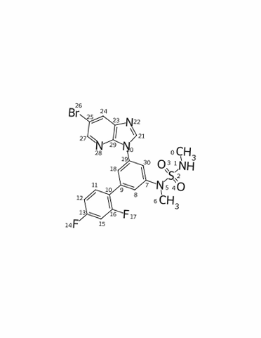 CNS(=O)(=O)N(C)c1cc(-c2ccc(F)cc2F)cc(-n2cnc3cc(Br)cnc32)c1